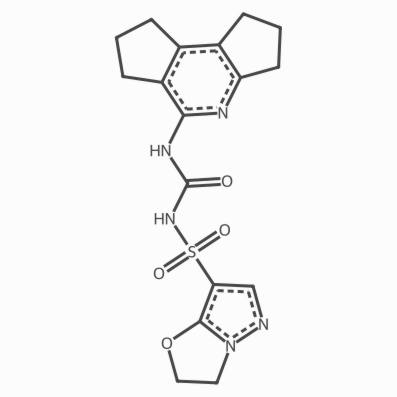 O=C(Nc1nc2c(c3c1CCC3)CCC2)NS(=O)(=O)c1cnn2c1OCC2